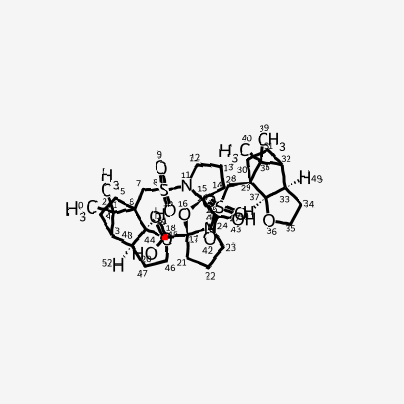 CC1(C)C2CCC1(CS(=O)(=O)N1CCC[C@]1(O[C@]1(C(=O)O)CCCN1S(=O)(=O)C[C@]13CCC([C@H]4CCO[C@H]41)C3(C)C)C(=O)O)[C@H]1OCC[C@@H]21